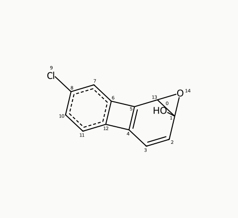 OC12C=CC3=C(c4cc(Cl)ccc43)C1O2